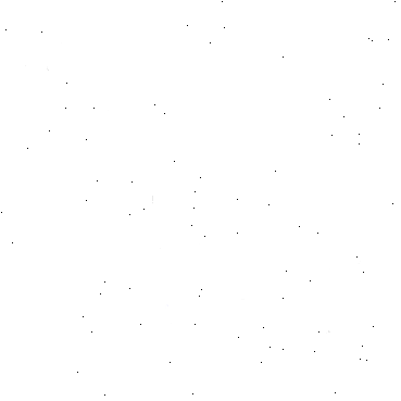 CCCc1c(OCCCC/C=C\C=C\C(Sc2ccc3c(=O)cc(OC(=O)O)oc3c2)C(O)c2ccc(C(F)(F)F)s2)ccc(C(C)=O)c1O